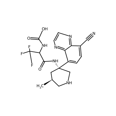 C[C@@H]1CNC[C@](NC(=O)C(NC(=O)O)C(F)(F)F)(c2ccc(C#N)c3nccnc23)C1